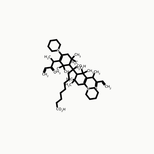 C=CC(=O)C(C)C1=C(N2CCCCC2)CC(C)(C)C(C(CCCCCCCC(=O)O)(C(=O)O)C2C(C)(C)CC(N3CCCCC3)=C(C(C)C(=O)C=C)C2(C)C)C1(C)C